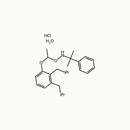 CC(C)Cc1cccc(OC(C)ONC(C)(C)c2ccccc2)c1CC(C)C.Cl.O